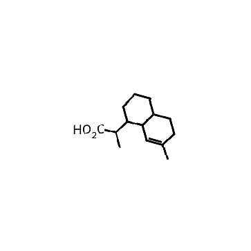 CC1=CC2C(CCCC2C(C)C(=O)O)CC1